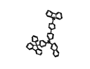 c1ccc(C2(c3ccc(N(c4ccc(-c5ccc(-n6c7ccccc7c7ccccc76)cc5)cc4)c4ccc5ccccc5c4)cc3)c3ccccc3-c3ccccc32)cc1